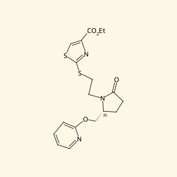 CCOC(=O)c1csc(SCCN2C(=O)CC[C@@H]2COc2ccccn2)n1